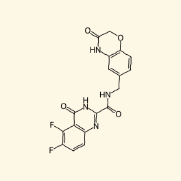 O=C1COc2ccc(CNC(=O)c3nc4ccc(F)c(F)c4c(=O)[nH]3)cc2N1